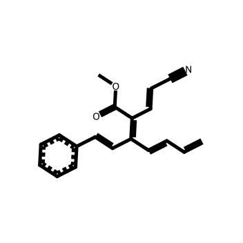 C=CC=CC(C=Cc1ccccc1)=C(C=CC#N)C(=O)OC